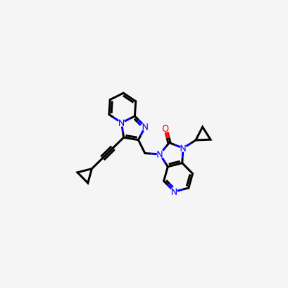 O=c1n(Cc2nc3ccccn3c2C#CC2CC2)c2cnccc2n1C1CC1